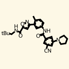 Cc1ccc(NC(=O)c2cc(C#N)cc(N3CCCCC3)c2)cc1-c1cc(C(=O)NCC(C)(C)C)on1